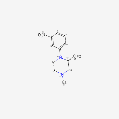 CCN1CCN(c2cccc([N+](=O)[O-])c2)C(C=O)C1